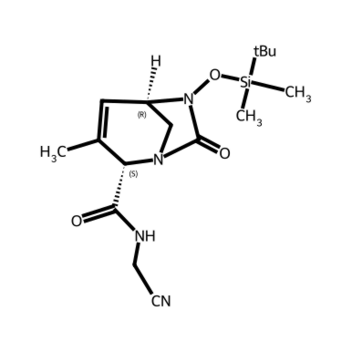 CC1=C[C@@H]2CN(C(=O)N2O[Si](C)(C)C(C)(C)C)[C@@H]1C(=O)NCC#N